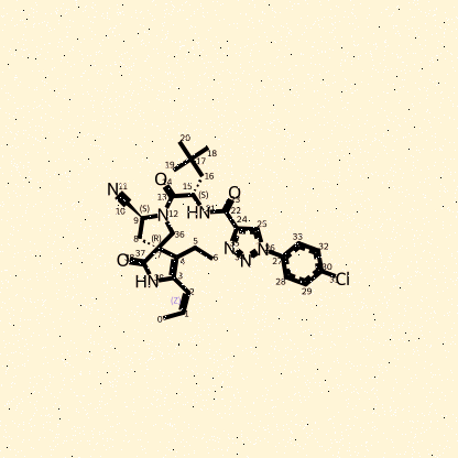 C/C=C\C1=C(CC)[C@@]2(C[C@@H](C#N)N(C(=O)[C@H](CC(C)(C)C)NC(=O)c3cn(-c4ccc(Cl)cc4)nn3)C2)C(=O)N1